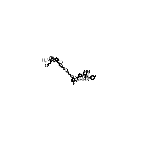 CC1=CC=C(C(=N)NC(=N)C2(Nc3cccc(C(=O)NCc4cc(OCCCCCOCCCOCC(=O)Nc5cccc6c5CN(C(CCC=O)C(N)=O)C6=O)ccc4F)c3)CCNCC2)C=CC1